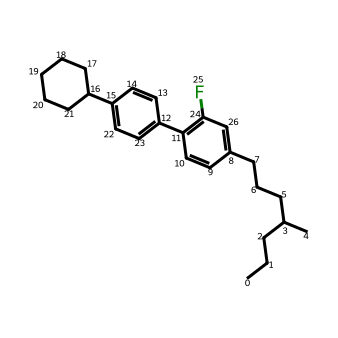 CCCC(C)CCCc1ccc(-c2ccc(C3CCCCC3)cc2)c(F)c1